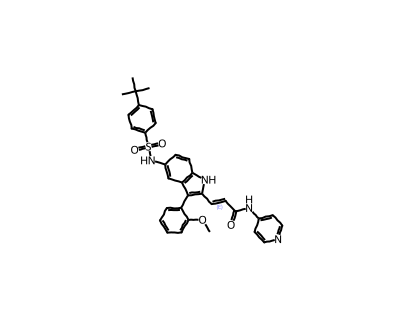 COc1ccccc1-c1c(/C=C/C(=O)Nc2ccncc2)[nH]c2ccc(NS(=O)(=O)c3ccc(C(C)(C)C)cc3)cc12